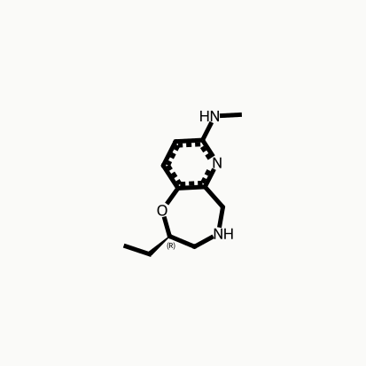 CC[C@@H]1CNCc2nc(NC)ccc2O1